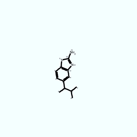 CC(C)C(C)c1ccc2sc(N)nc2c1